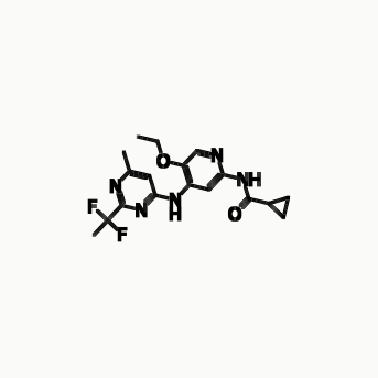 CCOc1cnc(NC(=O)C2CC2)cc1Nc1cc(C)nc(C(C)(F)F)n1